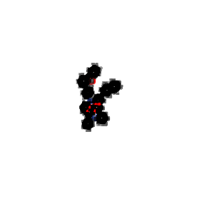 c1cc(-c2ccccc2N(c2ccc(-c3cccc4c3oc3ccccc34)cc2)c2cccc(-c3ccc4ccccc4c3)c2)cc(-c2ccccc2-n2c3ccccc3c3ccccc32)c1